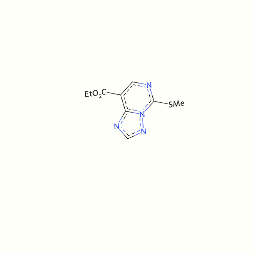 CCOC(=O)c1cnc(SC)n2ncnc12